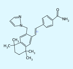 CC1(C)CCC(C)(C)c2cc(Cn3cccn3)c(/C=C/c3ccc(C(N)=O)cc3)cc21